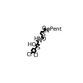 CCCCCN(C)C(=O)c1ccc(C(=O)N/N=C(\C)c2csc(-c3ccc(Cl)c(Cl)c3)c2O)s1